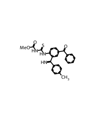 COC(=O)NC(=S)Nc1ccc(C(=O)c2ccccc2)cc1C(=N)c1ccc(C)cc1